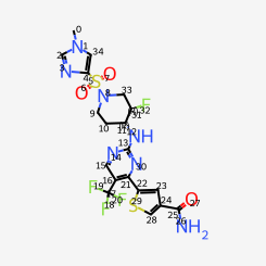 Cn1cnc(S(=O)(=O)N2CC[C@@H](Nc3ncc(C(F)(F)F)c(-c4cc(C(N)=O)cs4)n3)[C@H](F)C2)c1